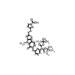 Cn1c2nc(CCc3ccn(C(=O)O)n3)sc2c2cnn(Cc3cccc(N(C(=O)OC(C)(C)C)C(=O)OC(C)(C)C)n3)c(=O)c21